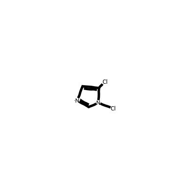 ClC1=C[N+]=CN1Cl